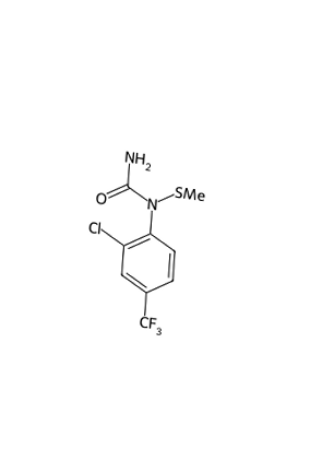 CSN(C(N)=O)c1ccc(C(F)(F)F)cc1Cl